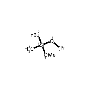 CCCC[Si](C)(OC)OC(C)C